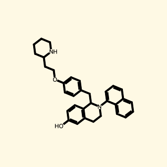 Oc1ccc2c(c1)CCN(c1cccc3ccccc13)C2Cc1ccc(OCCC2CCCCN2)cc1